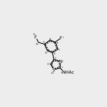 CC(=O)Nc1nc(-c2cc(F)cc(CF)c2)cs1